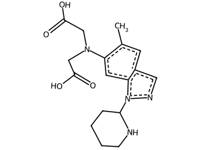 Cc1cc2cnn(C3CCCCN3)c2cc1N(CC(=O)O)CC(=O)O